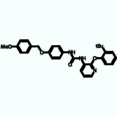 COc1ccc(COc2ccc(NC(=O)Nc3cccnc3Oc3ccccc3C(C)(C)C)cc2)cc1